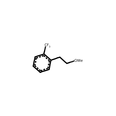 COCCc1ccccc1C(F)(F)F